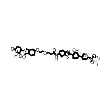 Cc1cc(-c2ccc(N(C)C)nc2)ccc1-c1nc2ccc(NC(=O)CCOCCOc3ccc4c(c3)CN(C3CCC(=O)NC3=O)C4=O)cc2s1